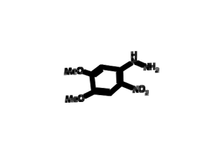 COc1cc(NN)c([N+](=O)[O-])cc1OC